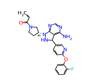 C=CC(=O)N1CC[C@@H](N2NC(c3ccc(Oc4ccccc4F)nc3)c3c(N)ncnc32)C1